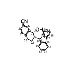 N#Cc1ccc2c(c1)[C@H](O)[C@@H](C1c3ccccc3-c3cncn31)CC2